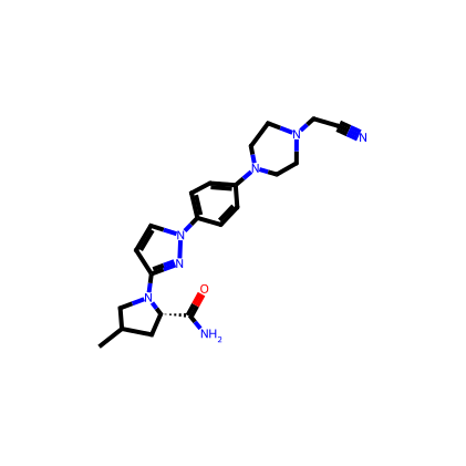 CC1C[C@@H](C(N)=O)N(c2ccn(-c3ccc(N4CCN(CC#N)CC4)cc3)n2)C1